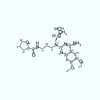 COc1cc2nc(N(C)CCCNC(=O)C3CCCO3)nc(N)c2cc1OC.Cl.O.O